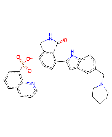 O=C1NCc2c(OS(=O)(=O)c3cccc4cccnc34)ccc(-c3cc4cc(CN5CCCCC5)ccc4[nH]3)c21